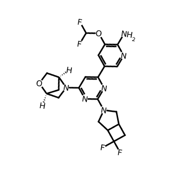 Nc1ncc(-c2cc(N3C[C@@H]4C[C@H]3CO4)nc(N3CC4CC(F)(F)C4C3)n2)cc1OC(F)F